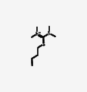 CCCCSC(N(C)C)=[N+](C)C